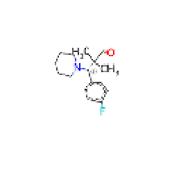 CC(C)(C=O)[C@H](c1ccc(F)cc1)N1CCCCC1